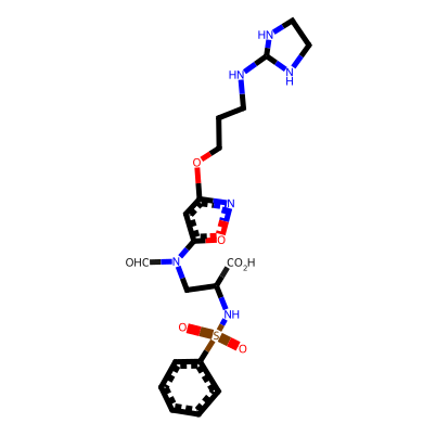 O=CN(CC(NS(=O)(=O)c1ccccc1)C(=O)O)c1cc(OCCCNC2NCCN2)no1